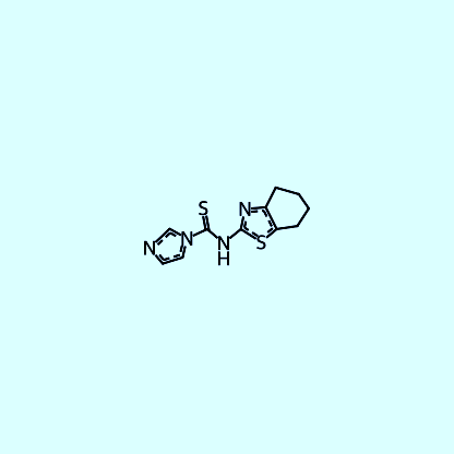 S=C(Nc1nc2c(s1)CCCC2)n1ccnc1